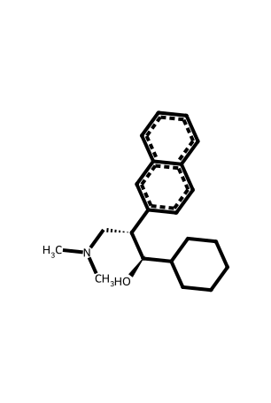 CN(C)C[C@H](c1ccc2ccccc2c1)[C@H](O)C1CCCCC1